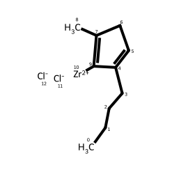 CCCCC1=CCC(C)=[C]1[Zr+2].[Cl-].[Cl-]